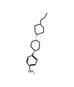 CCCC1CCC([C@H]2CC[C@H](c3ccc(N)cc3)CC2)CC1